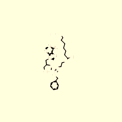 CCCCCCCCCCCCCCCCC(C)OCCO[P@](=O)(COC(CO)Cn1cnc2c(N)ncnc21)OCc1ccccc1